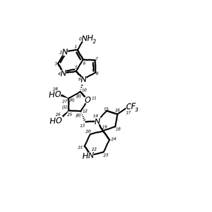 Nc1ncnc2c1ccn2[C@@H]1O[C@H](CN2CC(C(F)(F)F)CC23CCNCC3)[C@@H](O)[C@H]1O